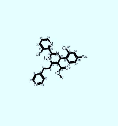 COC(=O)C1=C(CCc2ccncc2)NC(c2ncccc2F)=NC1c1ccc(F)cc1Cl